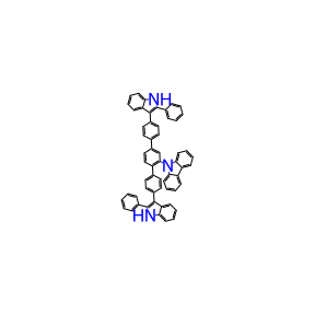 c1ccc(-c2[nH]c3ccccc3c2-c2ccc(-c3ccc(-c4ccc(-c5c(-c6ccccc6)[nH]c6ccccc56)cc4)c(-n4c5ccccc5c5ccccc54)c3)cc2)cc1